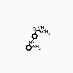 CC=C(C)C(=O)c1ccc(N=Nc2ccccc2N)cc1